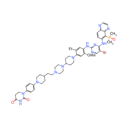 CCc1cc(Nc2ncc(Br)c(Nc3ccc4nccnc4c3P(C)(C)=O)n2)c(OC)cc1N1CCC(N2CCN(CCC3CCN(c4ccc(N5CCC(=O)NC5=O)cc4)CC3)CC2)CC1